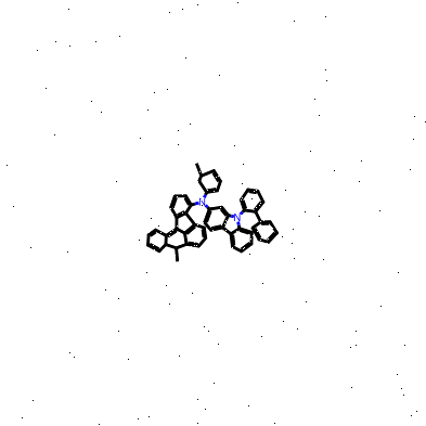 CC1C=CC=C(N(c2ccc3c4ccccc4n(-c4ccccc4-c4ccccc4)c3c2)c2cccc3c2-c2cccc4c2C3=C2C=CC=CC2C4C)C1